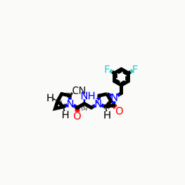 N#C[C@@H]1C[C@@H]2C[C@@H]2N1C(=O)[C@@H](N)CN1CC2C[C@H]1C(=O)N2Cc1cc(F)cc(F)c1